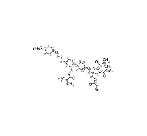 C=C(C)C(=O)OCc1cc(CCCOc2ccc(CCCCCC)cc2)ccc1-c1ccc(OCC(COC(=O)CC(C)=O)(COC(=O)CC(C)=O)COC(=O)C(=C)C)cc1